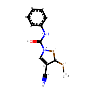 CSC1SN(C(=O)Nc2ccccc2)C=C1C#N